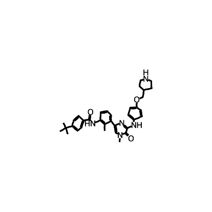 Cc1c(NC(=O)c2ccc(C(C)(C)C)cc2)cccc1-c1cn(C)c(=O)c(Nc2ccc(OCC3CCNCC3)cc2)n1